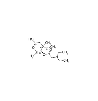 CCN(CC)CC(=O)O[C@H]1[C@H](C)O[C@@H](O)C[C@@]1(C)OC